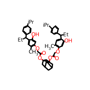 CCC(c1ccc(C(C)C)cc1)c1cc(C)c(OCC(=O)OC23CC4CC(C2)CC(OC(=O)COc2cc(O)c(C(CC)c5ccc(C(C)C)cc5)cc2C)(C4)C3)cc1O